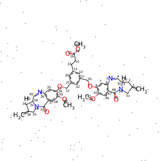 C=C1C[C@H]2C=Nc3cc(OCc4cc(CCC(=O)OC)cc(COc5cc6c(cc5OC)C(=O)N5CC(=C)C[C@H]5C=N6)c4)c(OC)cc3C(=O)N2C1